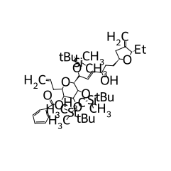 C=CCC1O[C@@H](C(/C=C/C(O)CC[C@H]2CC(=C)[C@H](CC)O2)O[Si](C)(C)C(C)(C)C)C(O[Si](C)(C)C(C)(C)C)C(O[Si](C)(C)C(C)(C)C)C1OC(=O)c1ccccc1